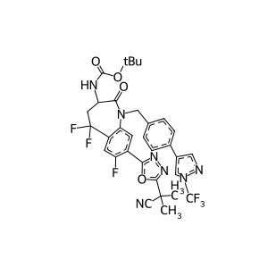 CC(C)(C)OC(=O)NC1CC(F)(F)c2cc(F)c(-c3nnc(C(C)(C)C#N)o3)cc2N(Cc2ccc(-c3cnn(C(F)(F)F)c3)cc2)C1=O